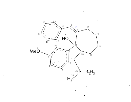 COc1cccc(C2(O)/C(=C\c3ccccc3)CCCCC2CN(C)C)c1